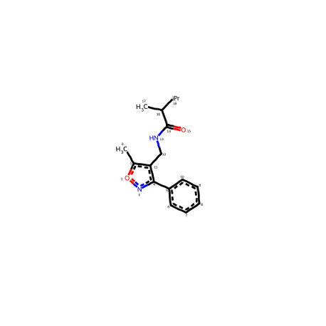 Cc1onc(-c2ccccc2)c1CNC(=O)C(C)C(C)C